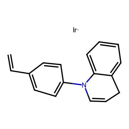 C=Cc1ccc(N2C=CCc3ccccc32)cc1.[Ir]